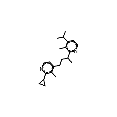 Cc1c(C(C)C)ccnc1C(C)CCc1ccnc(C2CC2)c1C